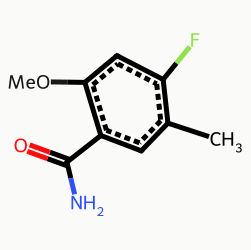 COc1cc(F)c(C)cc1C(N)=O